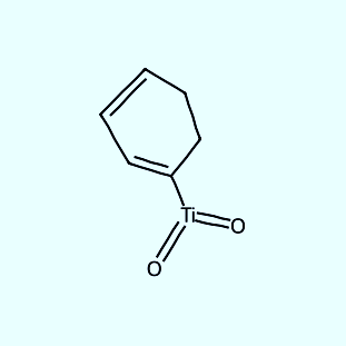 [O]=[Ti](=[O])[C]1=CC=CCC1